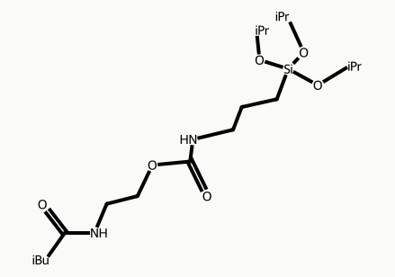 CCC(C)C(=O)NCCOC(=O)NCCC[Si](OC(C)C)(OC(C)C)OC(C)C